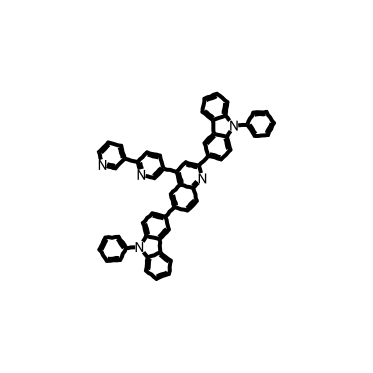 c1ccc(-n2c3ccccc3c3cc(-c4ccc5nc(-c6ccc7c(c6)c6ccccc6n7-c6ccccc6)cc(-c6ccc(-c7cccnc7)nc6)c5c4)ccc32)cc1